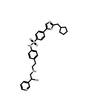 O=S(=O)(Nc1ccc(CCNCC(O)c2cccnc2)cc1)c1ccc(-c2cnc(CC3CCCC3)o2)cc1